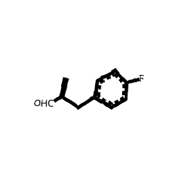 C=C(C=O)Cc1ccc(F)cc1